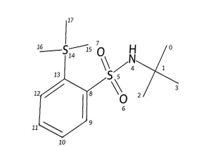 CC(C)(C)NS(=O)(=O)c1ccccc1S(C)(C)C